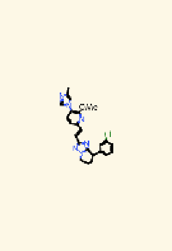 COc1nc(C=Cc2nc3n(n2)CCCC3c2cccc(Cl)c2)ccc1-n1cnc(C)c1